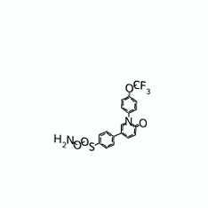 NOOSc1ccc(-c2ccc(=O)n(-c3ccc(OC(F)(F)F)cc3)c2)cc1